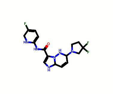 O=C(NC1=CC=C(F)CN1)C1=CNC2C=CC(N3CCC(F)(F)C3)NN12